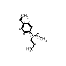 C=Cc1ccc([SiH](CCC)OC)cc1